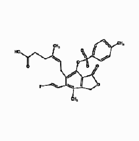 CC(=CCc1c(C=CF)c(C)c2c(c1OS(=O)(=O)c1ccc(C)cc1)C(=O)OC2)CCC(=O)O